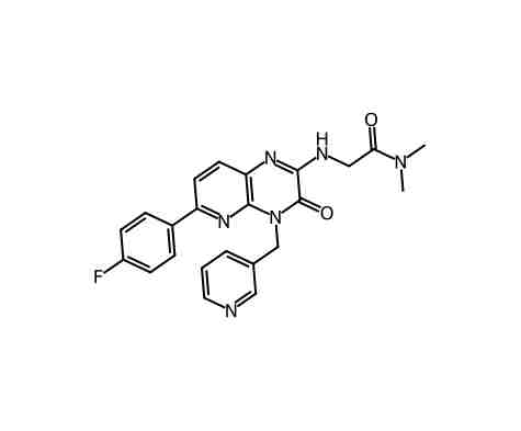 CN(C)C(=O)CNc1nc2ccc(-c3ccc(F)cc3)nc2n(Cc2cccnc2)c1=O